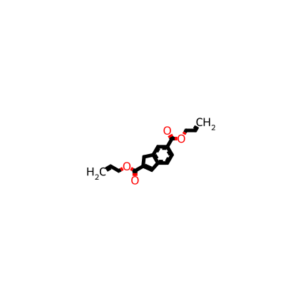 C=CCOC(=O)C1=Cc2ccc(C(=O)OCC=C)cc2C1